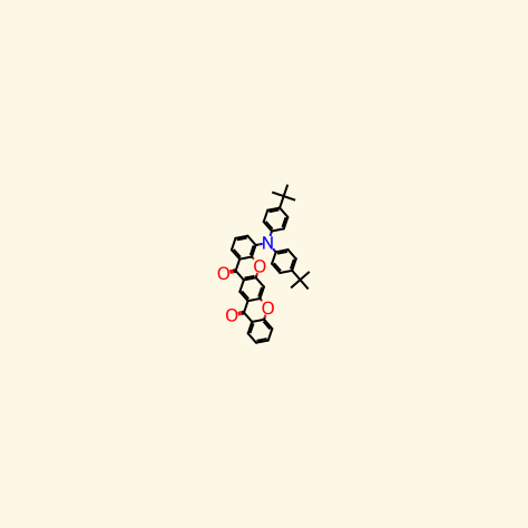 CC(C)(C)c1ccc(N(c2ccc(C(C)(C)C)cc2)c2cccc3c(=O)c4cc5c(=O)c6ccccc6oc5cc4oc23)cc1